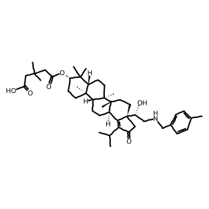 Cc1ccc(CNC[C@@H](O)[C@@]23CC[C@]4(C)[C@H](CC[C@@H]5[C@@]6(C)CC[C@H](OC(=O)CC(C)(C)CC(=O)O)C(C)(C)[C@@H]6CC[C@]54C)C2=C(C(C)C)C(=O)C3)cc1